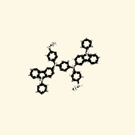 COc1ccc(N(c2ccc(N(c3ccc(OC)cc3)c3ccc4c(c3)c3ccccc3n4-c3ccccc3)cc2)c2ccc3c(c2)c2ccccc2n3-c2ccccc2)cc1